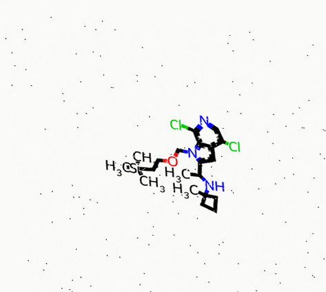 CC(NC1(C)CCC1)c1cc2c(Cl)cnc(Cl)c2n1COCC[Si](C)(C)C